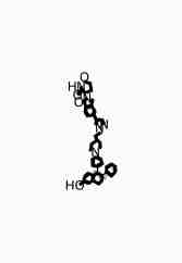 O=C1CCC(N2Cc3cc(-c4cnn(CCC5CCN(c6ccc([C@@H]7c8ccc(O)cc8CC[C@@H]7c7ccccc7)cc6)CC5)c4)ccc3C2=O)C(=O)N1